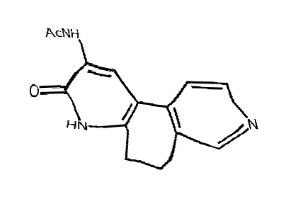 CC(=O)Nc1cc2c([nH]c1=O)CCc1cnccc1-2